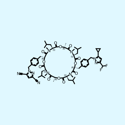 CC(C)C[C@H]1C(=O)O[C@H](Cc2ccc(Cn3nc(C(F)F)cc3C3CC3)cc2)C(=O)N(C)[C@@H](CC(C)C)C(=O)O[C@H](C)C(=O)N(C)[C@@H](CC(C)C)C(=O)O[C@H](Cc2ccc(Cn3nc(C#N)cc3C#N)cc2)C(=O)N(C)[C@@H](CC(C)C)C(=O)O[C@H](C)C(=O)N1C